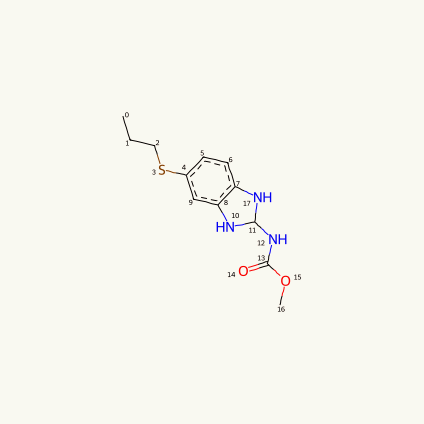 CCCSc1ccc2c(c1)NC(NC(=O)OC)N2